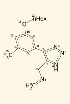 C=NCc1[nH]nnc1-c1cc(OCCCCCC)cc(C(F)(F)F)c1